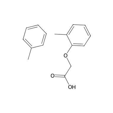 Cc1ccccc1.Cc1ccccc1OCC(=O)O